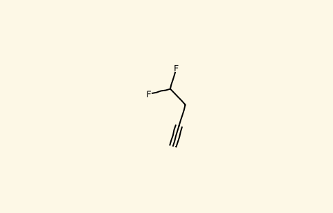 [C]#CCC(F)F